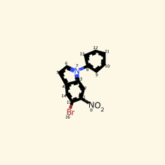 O=[N+]([O-])c1cc2c(ccn2-c2ccccc2)cc1Br